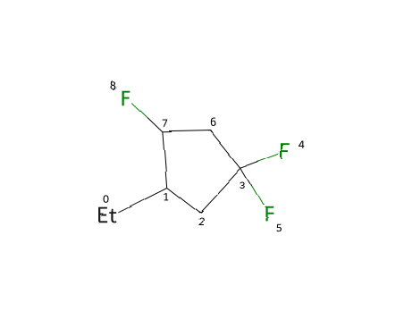 CCC1CC(F)(F)CC1F